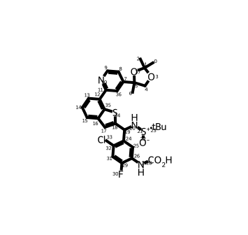 CC1(C)OCC(C)(c2ccnc(-c3cccc4cc(C(N[S@@+]([O-])C(C)(C)C)c5cc(NC(=O)O)c(F)cc5Cl)sc34)c2)O1